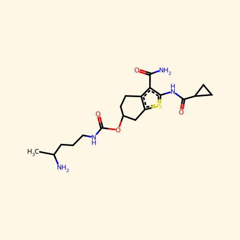 CC(N)CCCNC(=O)OC1CCc2c(sc(NC(=O)C3CC3)c2C(N)=O)C1